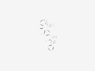 Cc1cccc(NC(=O)Nc2ccc(-c3csc4ccnc(N)c34)c(Cl)c2)c1